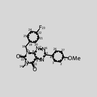 COc1ccc(-c2nnc3c(n2)c(=O)n(C)c(=O)n3Cc2ccc(F)cc2)cc1